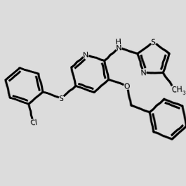 Cc1csc(Nc2ncc(Sc3ccccc3Cl)cc2OCc2ccccc2)n1